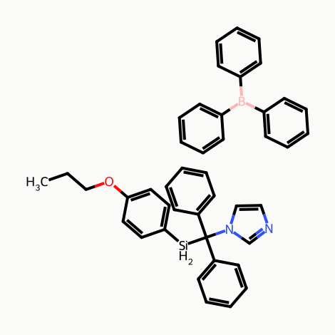 CCCOc1ccc([SiH2]C(c2ccccc2)(c2ccccc2)n2ccnc2)cc1.c1ccc(B(c2ccccc2)c2ccccc2)cc1